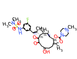 C/C(=C\c1cc(F)cc(NS(=O)(=O)N(C)C)c1)[C@H]1C(=O)C(=O)C[C@H](O)CC[C@H](C)[C@@H](OC(=O)N2CCN(C)CC2)/C=C/[C@@H]1C